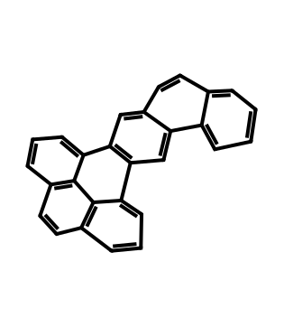 c1ccc2c(c1)ccc1cc3c(cc12)c1cccc2ccc4cccc3c4c21